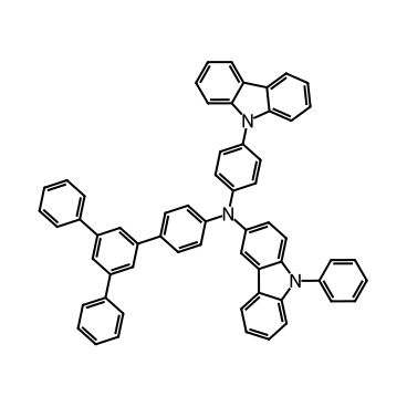 c1ccc(-c2cc(-c3ccccc3)cc(-c3ccc(N(c4ccc(-n5c6ccccc6c6ccccc65)cc4)c4ccc5c(c4)c4ccccc4n5-c4ccccc4)cc3)c2)cc1